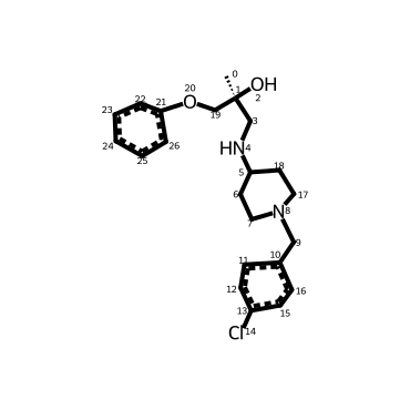 C[C@](O)(CNC1CCN(Cc2ccc(Cl)cc2)CC1)COc1[c]cccc1